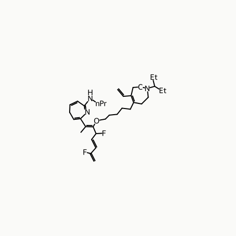 C=CC1=C(CCCCCO/C(=C(/C)C2=CCC=CC(NCCC)=N2)C(F)C=CC(=C)F)CCN(C(CC)CC)CC1